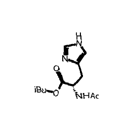 CCC(C)OC(=O)[C@H](Cc1c[nH]cn1)NC(C)=O